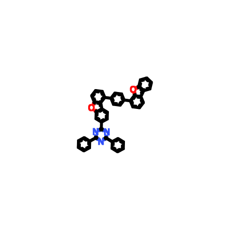 c1ccc(-c2nc(-c3ccccc3)nc(-c3ccc4c(c3)oc3cccc(-c5ccc(-c6cccc7c6oc6ccccc67)cc5)c34)n2)cc1